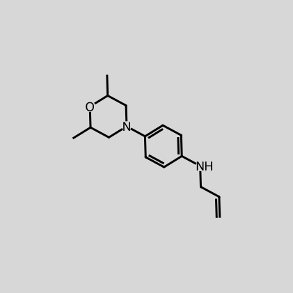 C=CCNc1ccc(N2CC(C)OC(C)C2)cc1